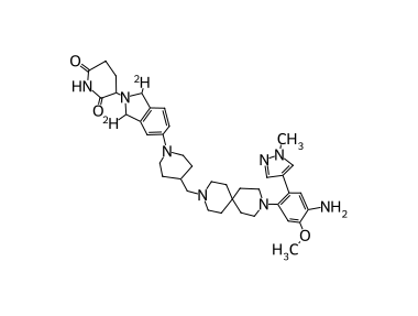 [2H]C1c2ccc(N3CCC(CN4CCC5(CC4)CCN(c4cc(OC)c(N)cc4-c4cnn(C)c4)CC5)CC3)cc2C([2H])N1C1CCC(=O)NC1=O